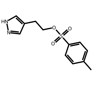 Cc1ccc(S(=O)(=O)OCCc2cn[nH]c2)cc1